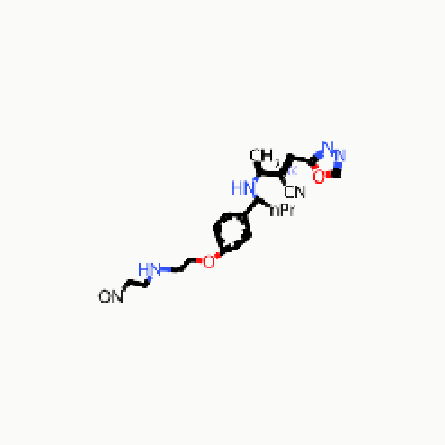 C=C(NC(CCC)c1ccc(OCCNCCN=O)cc1)/C(C#N)=C/c1nnco1